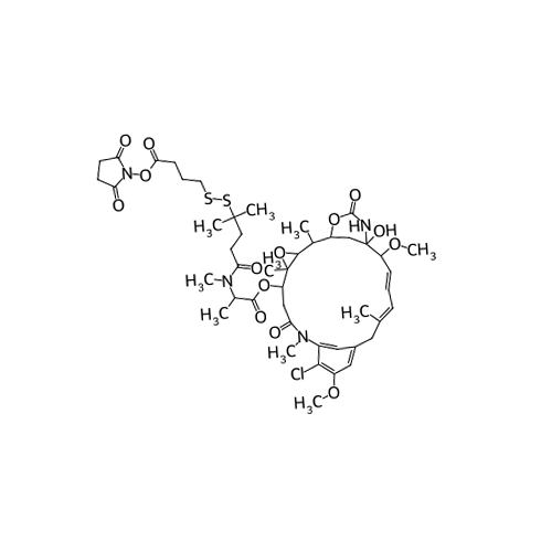 COc1cc2cc(c1Cl)N(C)C(=O)CC(OC(=O)C(C)N(C)C(=O)CCC(C)(C)SSCCCC(=O)ON1C(=O)CCC1=O)C1(C)OC1C(C)C1CC(O)(NC(=O)O1)C(OC)/C=C/C=C(\C)C2